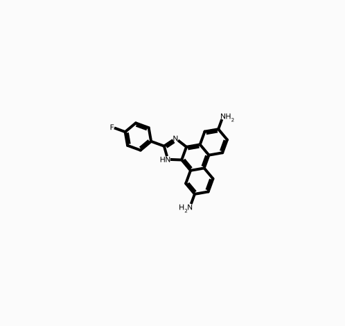 Nc1ccc2c3ccc(N)cc3c3[nH]c(-c4ccc(F)cc4)nc3c2c1